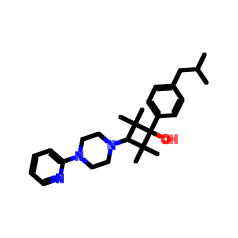 CC(C)Cc1ccc(C2(O)C(C)(C)C(N3CCN(c4ccccn4)CC3)C2(C)C)cc1